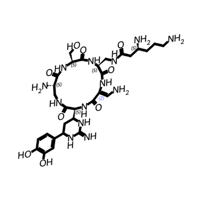 N=C1NC(c2ccc(O)c(O)c2)CC([C@@H]2NC(=O)/C(=C/N)NC(=O)[C@H](CNC(=O)C[C@@H](N)CCCN)NC(=O)[C@H](CO)NC(=O)[C@@H](N)CNC2=O)N1